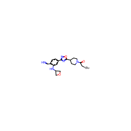 CC(C)(C)CC(=O)N1CCC(c2nc(-c3ccc(C=N)c(NC4COC4)c3)no2)CC1